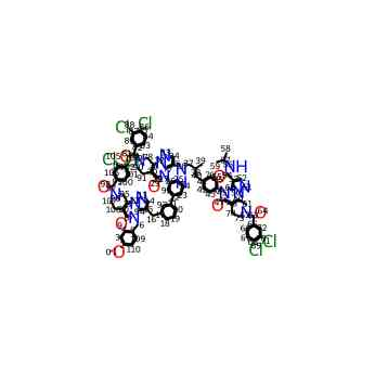 COc1ccc(Cn2c(=O)c3c(n4ncc(Cc5cccc(-c6cccc(-n7c(=O)c8c(n9ncc(NCC(C)Cc%10ccc(-n%11c(=O)c%12c(n%13ncc(C(=O)NC(C)C)c%11%13)CN(C(=O)c%11ccc(Cl)c(Cl)c%11)CC%12)cc%10)c79)CN(C(=O)c7ccc(Cl)c(Cl)c7)CC8)c6)c5)c24)CN(C(=O)c2ccc(Cl)c(Cl)c2)CC3)cc1